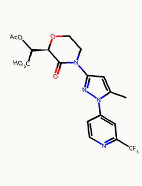 CC(=O)OC(C(=O)O)[C@H]1OCCN(c2cc(C)n(-c3ccnc(C(F)(F)F)c3)n2)C1=O